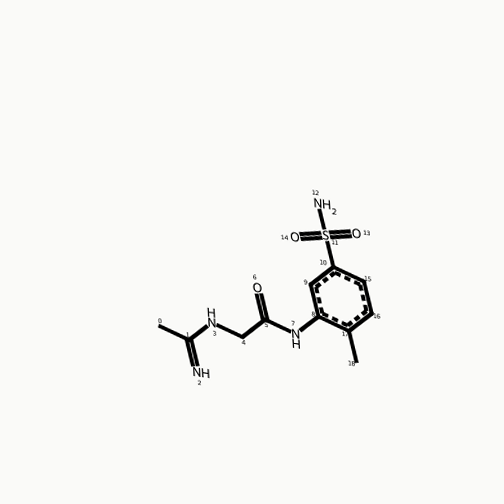 CC(=N)NCC(=O)Nc1cc(S(N)(=O)=O)ccc1C